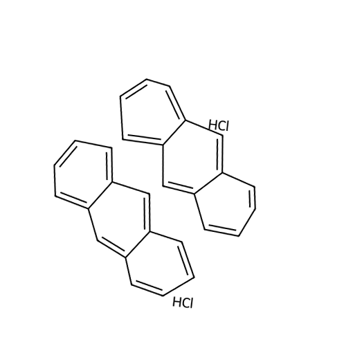 Cl.Cl.c1ccc2cc3ccccc3cc2c1.c1ccc2cc3ccccc3cc2c1